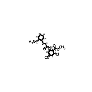 COC(=O)c1c(Cl)cc(Cl)cc1NC(=O)CSc1ccccc1OC